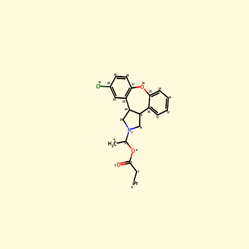 CC(C)CC(=O)OC(C)N1CC2c3ccccc3Oc3ccc(Cl)cc3C2C1